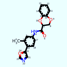 Cc1cc(NC(=O)C2COc3ccccc3O2)ccc1-c1cnco1